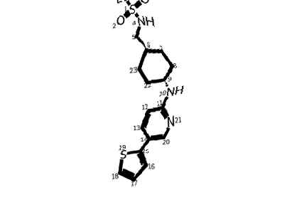 CCS(=O)(=O)NC[C@H]1CC[C@H](Nc2ccc(-c3cccs3)cn2)CC1